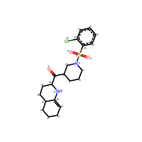 O=C(C1CCCN(S(=O)(=O)c2ccccc2Cl)C1)C1CCC2CCCC=C2N1